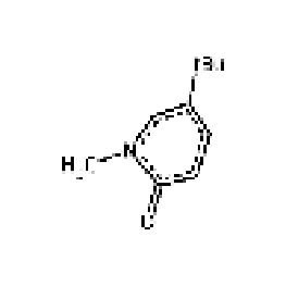 Cn1cc(C(C)(C)C)ccc1=O